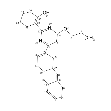 CCCOC1CC(C2=CCC3CC4C=CCCC4=CC3C2)=NC(C2=C(O)CCCC2)=N1